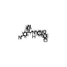 N#Cc1ccc(C(CCNCc2ccc(-n3cc(Cl)ccc3=O)nc2)n2ccnc2)cc1